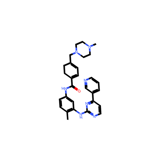 Cc1ccc(NC(=O)C2=CC=C(CN3CCN(C)CC3)CC2)cc1Nc1nccc(-c2cccnc2)n1